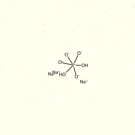 [Na+].[Na+].[Na+].[O-][I+]([O-])([O-])([O-])(O)O